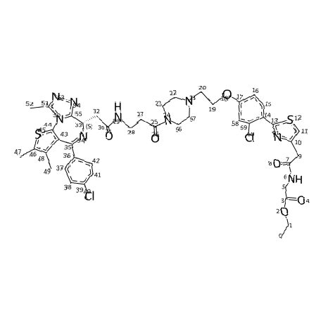 CCOC(=O)CNC(=O)Cc1csc(-c2ccc(OCCN3CCN(C(=O)CCNC(=O)C[C@@H]4N=C(c5ccc(Cl)cc5)c5c(sc(C)c5C)-n5c(C)nnc54)CC3)cc2Cl)n1